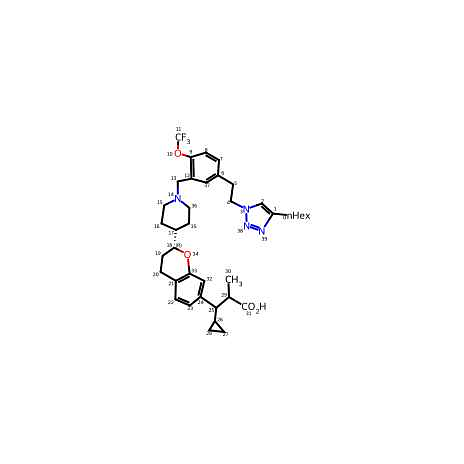 CCCCCCc1cn(CCc2ccc(OC(F)(F)F)c(CN3CCC([C@H]4CCc5ccc(C(C6CC6)C(C)C(=O)O)cc5O4)CC3)c2)nn1